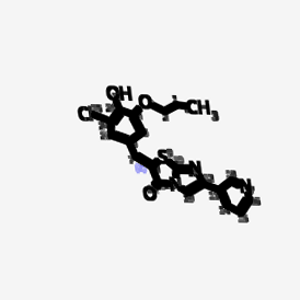 CCCOc1cc(/C=c2\sc3nc(-c4cccnc4)cn3c2=O)cc(Cl)c1O